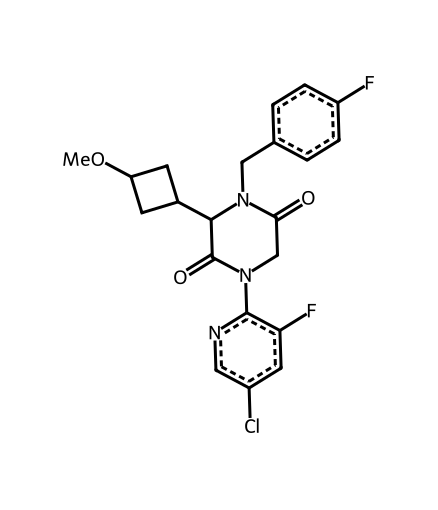 COC1CC(C2C(=O)N(c3ncc(Cl)cc3F)CC(=O)N2Cc2ccc(F)cc2)C1